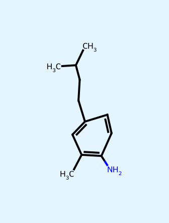 Cc1cc(CCC(C)C)ccc1N